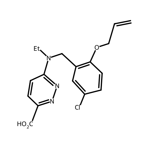 C=CCOc1ccc(Cl)cc1CN(CC)c1ccc(C(=O)O)nn1